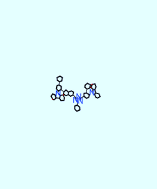 c1ccc(-c2ccc(-n3c4ccccc4c4ccccc43)c(-c3ccc4cc(-c5nc(-c6ccccc6)nc(-c6ccc(-n7c8ccccc8c8ccccc87)c(-c7ccccc7)c6)n5)ccc4c3)c2)cc1